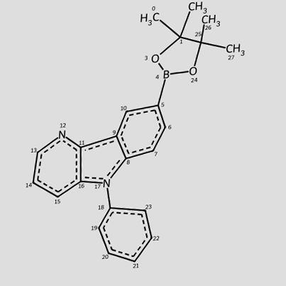 CC1(C)OB(c2ccc3c(c2)c2ncccc2n3-c2ccccc2)OC1(C)C